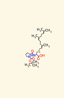 CC(C)=CCCC(C)=CCCC(C)=CCSCC(NC(=O)C1CCCN1C(=O)OC(C)(C)C)C(=O)O